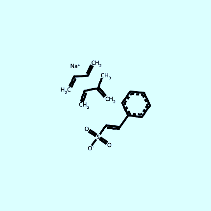 C=CC(=C)C.C=CC=C.O=S(=O)([O-])C=Cc1ccccc1.[Na+]